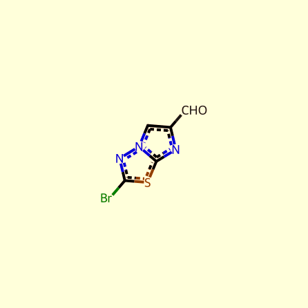 O=Cc1cn2nc(Br)sc2n1